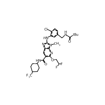 Cn1c(Nc2cc(CNC(=O)C(C)(C)C)ccc2Cl)nc2cc(C(=O)NC3CCC(C(F)(F)F)CC3)c(OCC(F)F)nc21